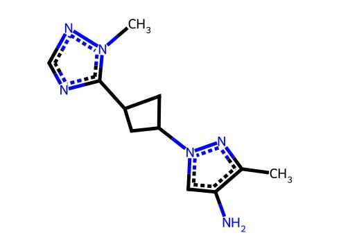 Cc1nn(C2CC(c3ncnn3C)C2)cc1N